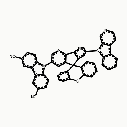 N#Cc1ccc2c(c1)c1cc(C#N)ccc1n2-c1cnc2c(c1)C1(c3ccccc3Oc3ccccc31)c1cc(-n3c4ccccc4c4ccncc43)cnc1-2